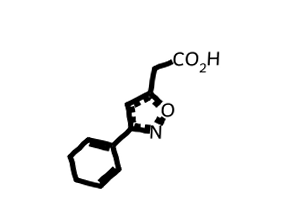 O=C(O)Cc1cc(C2=CCCC=C2)no1